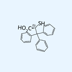 O=C(O)[C@@H](S)C(c1ccccc1)(c1ccccc1)c1ccccc1